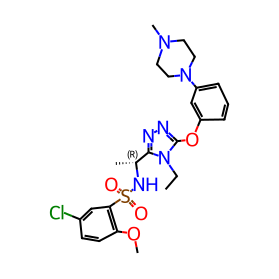 CCn1c(Oc2cccc(N3CCN(C)CC3)c2)nnc1[C@@H](C)NS(=O)(=O)c1cc(Cl)ccc1OC